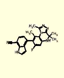 Cc1c(-c2ccc(C#N)c3[nH]ccc23)c(F)cc2c1-n1c(C)nnc1C(C)(C)N2